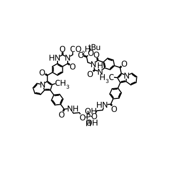 Cc1c(-c2ccc(C(=O)NCCO[PH](O)(O)OCCNC(=O)c3ccc(-c4c(C)c(C(=O)c5ccc6c(=O)n(CC(=O)OC(C)(C)C)c(=O)[nH]c6c5)n5ccccc45)cc3)cc2)c2ccccn2c1C(=O)c1ccc2c(=O)n(CC(=O)O)c(=O)[nH]c2c1